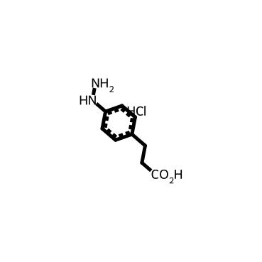 Cl.NNc1ccc(CCC(=O)O)cc1